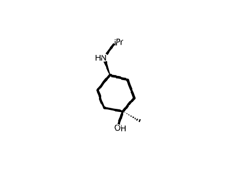 CC(C)N[C@H]1CC[C@@](C)(O)CC1